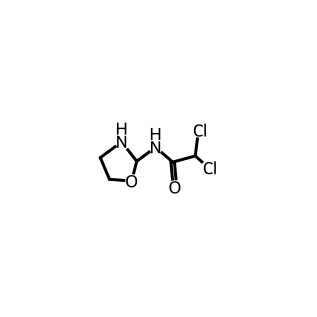 O=C(NC1NCCO1)C(Cl)Cl